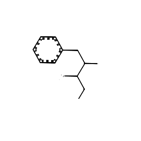 CC(Cc1ccccc1)C(N)CO